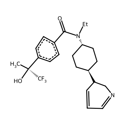 CCN(C(=O)c1ccc([C@](C)(O)C(F)(F)F)cc1)[C@H]1CC[C@H](C2C=CC=NC2)CC1